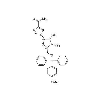 COc1ccc(C(OC[C@H]2O[C@@H](n3cnc(C(N)=O)n3)C(O)C2O)(c2ccccc2)c2ccccc2)cc1